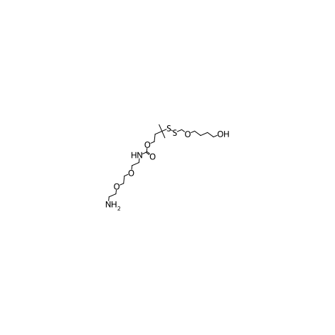 CC(C)(CCOC(=O)NCCOCCOCCN)SSCOCCCCO